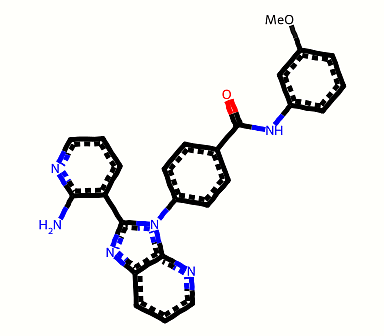 COc1cccc(NC(=O)c2ccc(-n3c(-c4cccnc4N)nc4cccnc43)cc2)c1